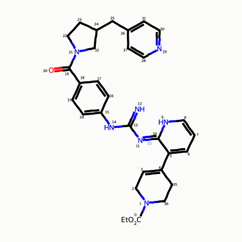 CCOC(=O)N1CC=C(c2ccc[nH]/c2=N\C(=N)Nc2ccc(C(=O)N3CCC(Cc4ccncc4)C3)cc2)CC1